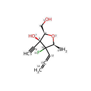 B[C@@H]1O[C@H](CO)[C@@](O)(C#C)C1(F)C=C=C